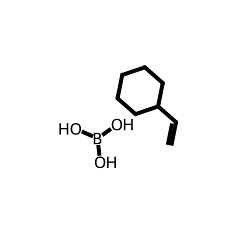 C=CC1CCCCC1.OB(O)O